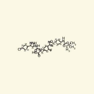 CC(C)(C)OC(=O)Nc1ccc(-c2nc(-c3ccc(CC(NC(=O)Nc4cc(-c5ccc(Cl)cc5)n[nH]4)C(=O)O)cc3F)no2)cc1